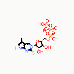 Cc1c[nH]c2nc(=S)n([C@@H]3O[C@H](COP(=O)(O)OP(=O)(O)OP(=O)(O)O)C(O)[C@@H]3O)cc12